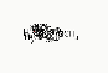 CCOC(=O)C(=O)c1cn(C)c2c(CO[Si](c3ccccc3)(c3ccccc3)C(C)(C)C)cccc12